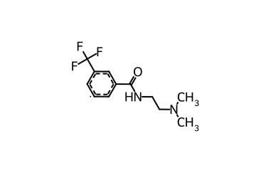 CN(C)CCNC(=O)c1c[c]cc(C(F)(F)F)c1